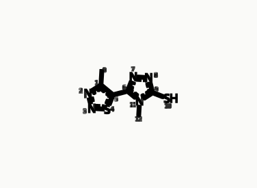 Cc1nnsc1-c1nnc(S)n1C